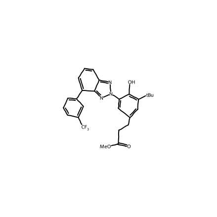 COC(=O)CCc1cc(-n2nc3cccc(-c4cccc(C(F)(F)F)c4)c3n2)c(O)c(C(C)(C)C)c1